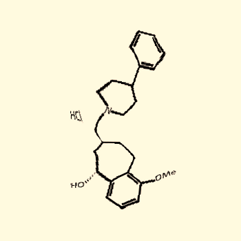 COc1cccc2c1CC[C@H](CN1CCC(c3ccccc3)CC1)C[C@H]2O.Cl